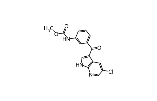 COC(=O)Nc1cccc(C(=O)c2c[nH]c3ncc(Cl)cc23)c1